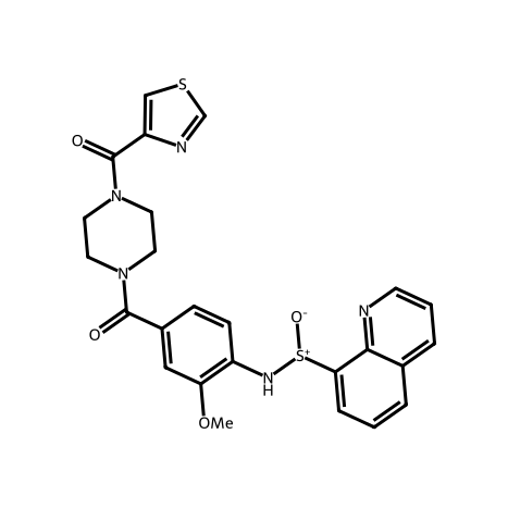 COc1cc(C(=O)N2CCN(C(=O)c3cscn3)CC2)ccc1N[S+]([O-])c1cccc2cccnc12